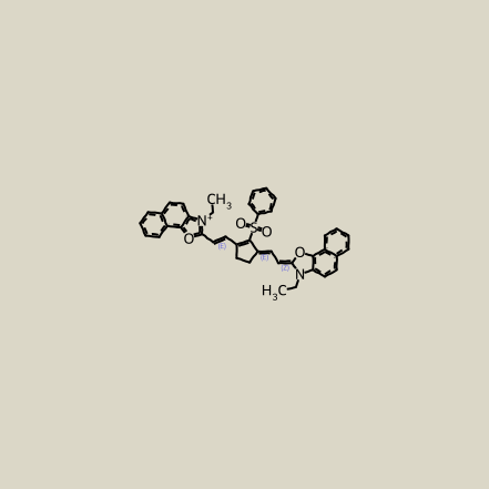 CCN1/C(=C/C=C2\CCC(/C=C/c3oc4c5ccccc5ccc4[n+]3CC)=C2S(=O)(=O)c2ccccc2)Oc2c1ccc1ccccc21